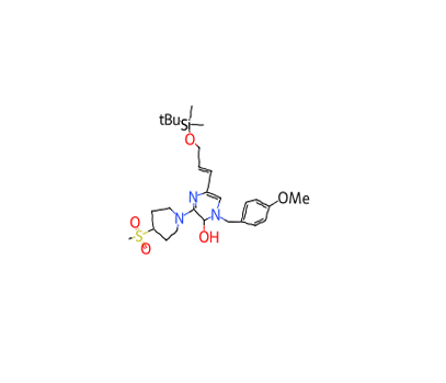 COc1ccc(CN2C=C(/C=C/CO[Si](C)(C)C(C)(C)C)N=C(N3CCC(S(C)(=O)=O)CC3)C2O)cc1